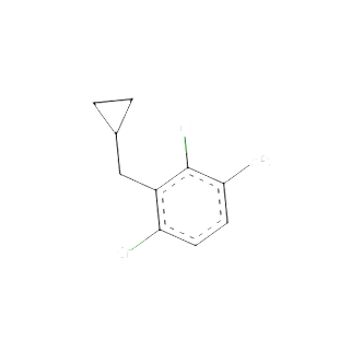 CCCc1c[c]c(Cl)c(CC2CC2)c1Cl